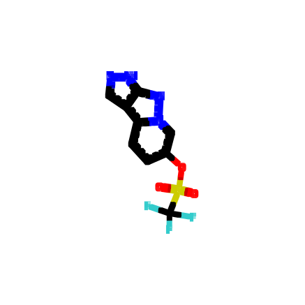 O=S(=O)(Oc1ccc2c3cn[nH]c3nn2c1)C(F)(F)F